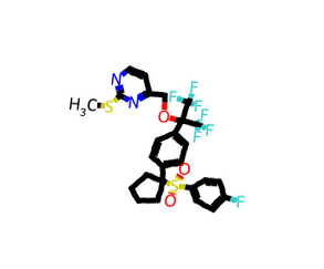 CSc1nccc(COC(c2ccc(C3(S(=O)(=O)c4ccc(F)cc4)CCCC3)cc2)(C(F)(F)F)C(F)(F)F)n1